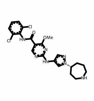 COc1nc(Nc2cnn([C@@H]3CCCNCC3)c2)ncc1C(=O)Nc1c(Cl)cccc1Cl